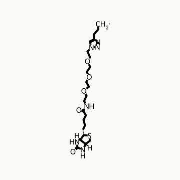 [CH2]CCc1cn(CCOCCOCCOCCNC(=O)CCCC[C@@H]2SC[C@@H]3NC(=O)N[C@@H]32)nn1